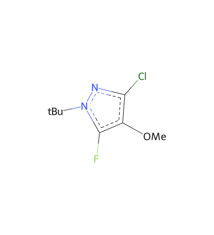 COc1c(Cl)nn(C(C)(C)C)c1F